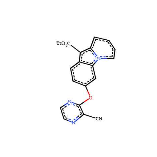 CCOC(=O)c1c2ccc(Oc3nccnc3C#N)cc2n2ccccc12